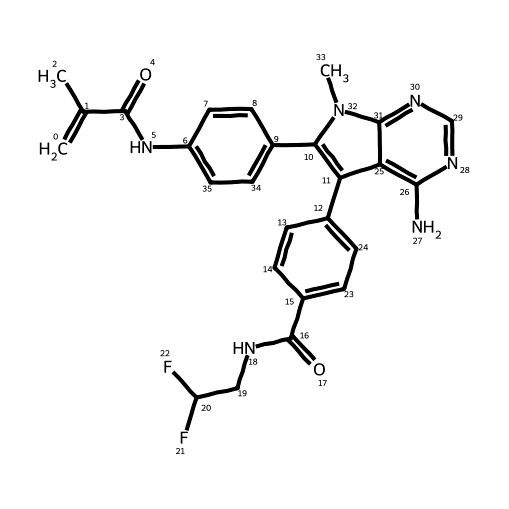 C=C(C)C(=O)Nc1ccc(-c2c(-c3ccc(C(=O)NCC(F)F)cc3)c3c(N)ncnc3n2C)cc1